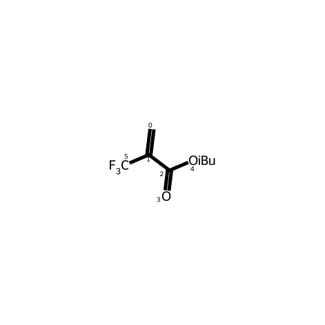 C=C(C(=O)OCC(C)C)C(F)(F)F